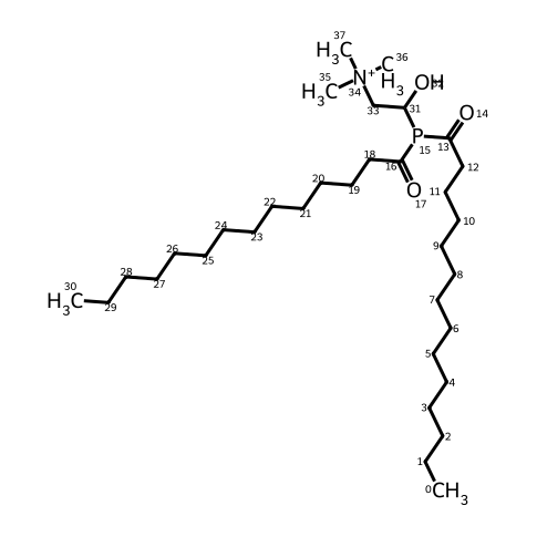 CCCCCCCCCCCCCC(=O)P(C(=O)CCCCCCCCCCCCC)C(O)C[N+](C)(C)C